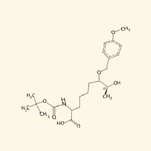 COc1ccc(COC(CCCCC(NC(=O)OC(C)(C)C)C(=O)O)[C@H](C)O)cc1